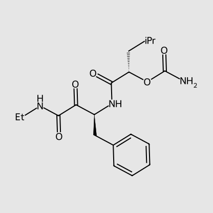 CCNC(=O)C(=O)[C@H](Cc1ccccc1)NC(=O)[C@H](CC(C)C)OC(N)=O